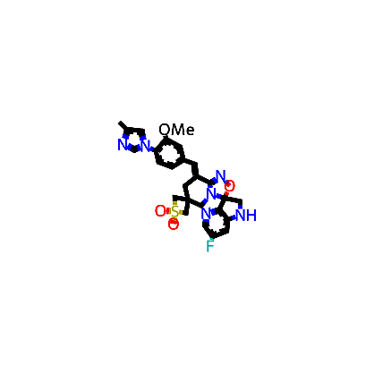 COc1cc(/C=C2\CC3(CN4C2=NOC42CNc4cc(F)cnc42)CS(=O)(=O)C3)ccc1-n1cnc(C)c1